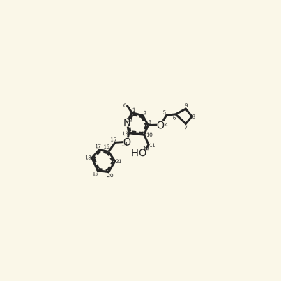 Cc1cc(OCC2CCC2)c(CO)c(OCc2ccccc2)n1